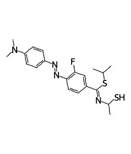 CC(S)/N=C(\SC(C)C)c1ccc(/N=N/c2ccc(N(C)C)cc2)c(F)c1